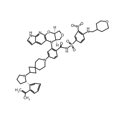 C=C(C)c1ccccc1[C@@H]1CCCN1C1CC2(CCN(c3ccc(C(=O)NS(=O)(=O)c4ccc(NCC5CCOCC5)c([N+](=O)[O-])c4)c(N4c5cc6cc[nH]c6nc5O[C@H]5COC[C@H]54)c3)CC2)C1